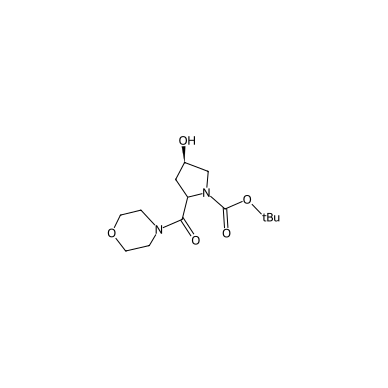 CC(C)(C)OC(=O)N1C[C@H](O)CC1C(=O)N1CCOCC1